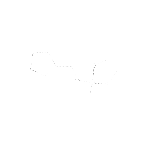 CO[Si](C)(OC)OCC1CCCC1